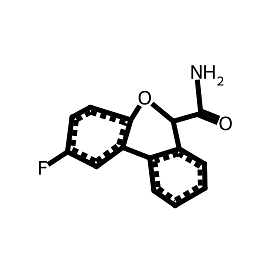 NC(=O)C1Oc2ccc(F)cc2-c2ccccc21